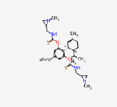 C=C(C)[C@@H]1CCC(C)=C[C@H]1c1c(OC(=S)NCC2CN2C)cc(CCCCC)cc1OC(=S)NCC1CN1C